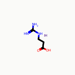 I.N=C(N)NCCC(=O)O